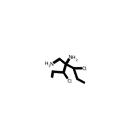 CCC(Cl)C(N)(CN)C(Cl)CC